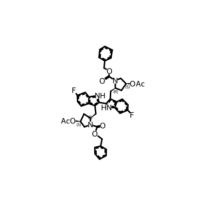 CC(=O)O[C@H]1C[C@@H](Cc2c(-c3[nH]c4cc(F)ccc4c3C[C@@H]3C[C@H](OC(C)=O)CN3C(=O)OCc3ccccc3)[nH]c3cc(F)ccc23)N(C(=O)OCc2ccccc2)C1